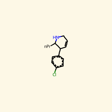 [CH2]CCC1NCC=CC1c1ccc(Cl)cc1